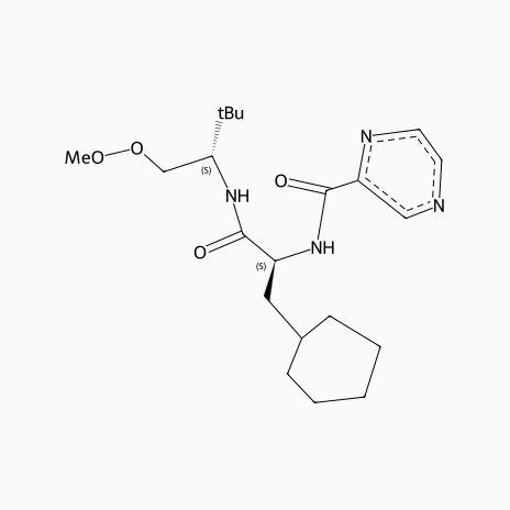 COOC[C@@H](NC(=O)[C@H](CC1CCCCC1)NC(=O)c1cnccn1)C(C)(C)C